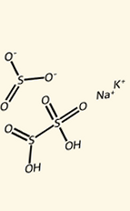 O=S(O)S(=O)(=O)O.O=S([O-])[O-].[K+].[Na+]